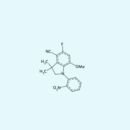 COc1cc(F)c(C#N)c2c1N(c1ccccc1[N+](=O)[O-])CC2(C)C